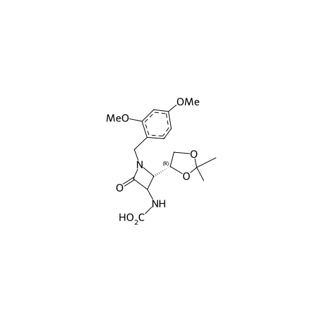 COc1ccc(CN2C(=O)C(NC(=O)O)C2[C@@H]2COC(C)(C)O2)c(OC)c1